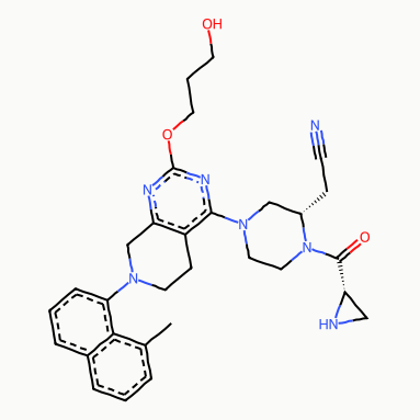 Cc1cccc2cccc(N3CCc4c(nc(OCCCO)nc4N4CCN(C(=O)[C@@H]5CN5)[C@@H](CC#N)C4)C3)c12